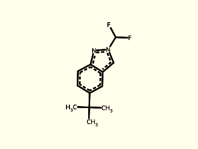 CC(C)(C)c1ccc2nn(C(F)F)cc2c1